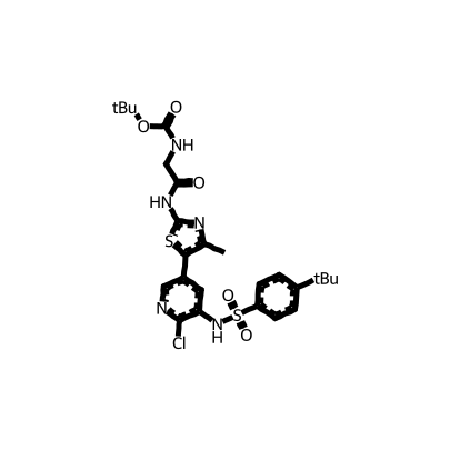 Cc1nc(NC(=O)CNC(=O)OC(C)(C)C)sc1-c1cnc(Cl)c(NS(=O)(=O)c2ccc(C(C)(C)C)cc2)c1